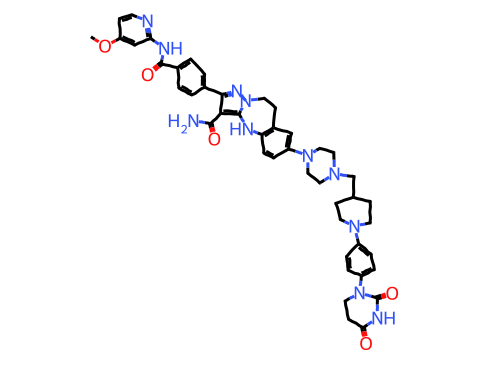 COc1ccnc(NC(=O)c2ccc(-c3nn4c(c3C(N)=O)Nc3ccc(N5CCN(CC6CCN(c7ccc(N8CCC(=O)NC8=O)cc7)CC6)CC5)cc3CC4)cc2)c1